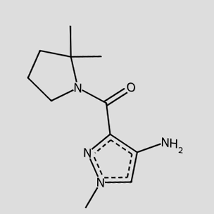 Cn1cc(N)c(C(=O)N2CCCC2(C)C)n1